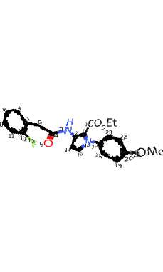 CCOC(=O)c1c(NC(=O)Cc2ccccc2F)ccn1-c1ccc(OC)cc1